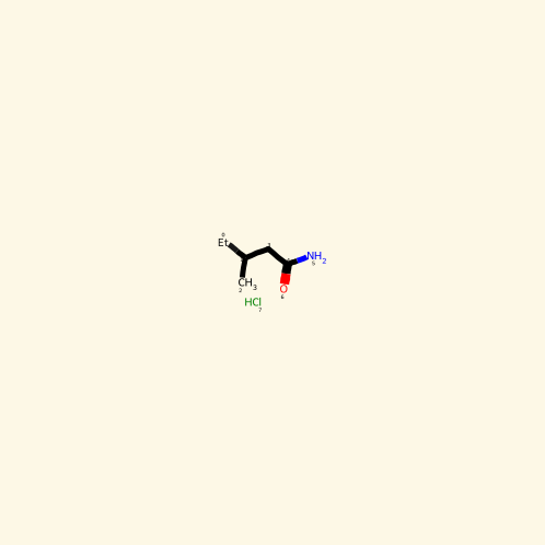 CCC(C)CC(N)=O.Cl